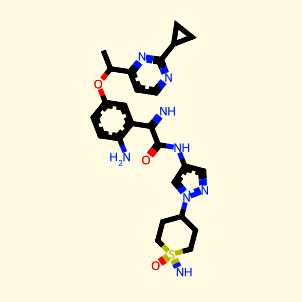 CC(Oc1ccc(N)c(C(=N)C(=O)Nc2cnn(C3CCS(=N)(=O)CC3)c2)c1)c1ccnc(C2CC2)n1